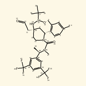 Cc1cc(F)ccc1[C@H]1C[C@](CC=O)(N[S+]([O-])C(C)(C)C)CCN1C(=O)N(C)[C@H](C)c1cc(C(F)(F)F)cc(C(F)(F)F)c1